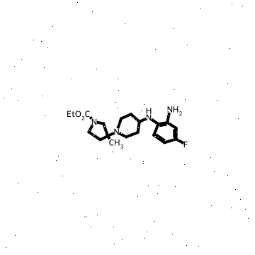 CCOC(=O)N1CCC(C)(N2CCC(Nc3ccc(F)cc3N)CC2)C1